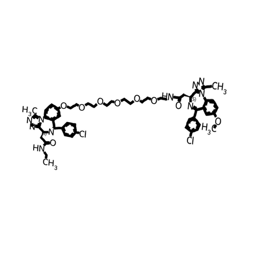 CCNC(=O)C[C@@H]1N=C(c2ccc(Cl)cc2)c2cc(OCCOCCOCCOCCOCCOCCNC(=O)C[C@@H]3N=C(c4ccc(Cl)cc4)c4cc(OC)ccc4-n4c(C)nnc43)ccc2-n2c(C)nnc21